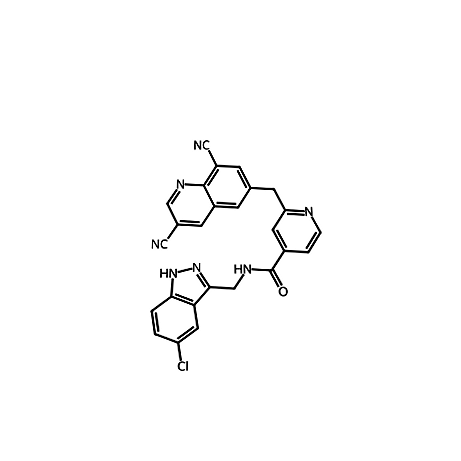 N#Cc1cnc2c(C#N)cc(Cc3cc(C(=O)NCc4n[nH]c5ccc(Cl)cc45)ccn3)cc2c1